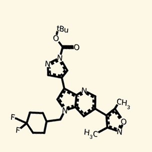 Cc1noc(C)c1-c1cnc2c(-c3cnn(C(=O)OC(C)(C)C)c3)cn(CC3CCC(F)(F)CC3)c2c1